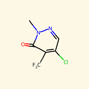 Cn1ncc(Cl)c(C(F)(F)F)c1=O